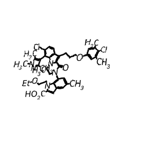 CCOCCn1c(C(=O)O)cc2cc(C)cc(N3CC(C)n4c(c(CCCOc5cc(C)c(Cl)c(C)c5)c5ccc(Cl)c(-c6c(C)nn(C)c6C)c54)C3=O)c21